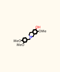 COc1cc2c(cc1O)CCN(Cc1ccc(OC)c(OC)c1)C2